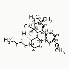 CCCCN1CCN(c2cc(OC)ccc2C2=CC(C)(C)CC(C)(Cl)C2)CC1